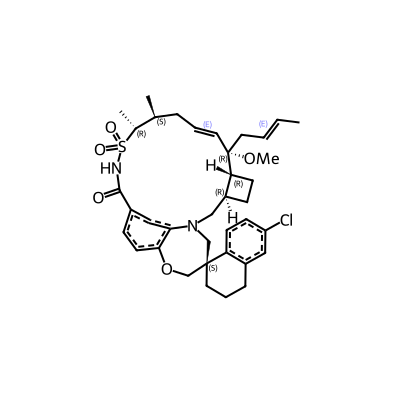 C/C=C/C[C@]1(OC)/C=C/C[C@H](C)[C@@H](C)S(=O)(=O)NC(=O)c2ccc3c(c2)N(C[C@@H]2CC[C@H]21)C[C@@]1(CCCc2cc(Cl)ccc21)CO3